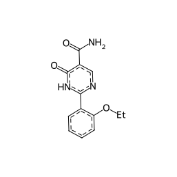 CCOc1ccccc1-c1ncc(C(N)=O)c(=O)[nH]1